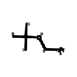 [CH2]C(C)(C)OCCCC